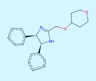 c1ccc([C@H]2N=C(COC3CCOCC3)N[C@H]2c2ccccc2)cc1